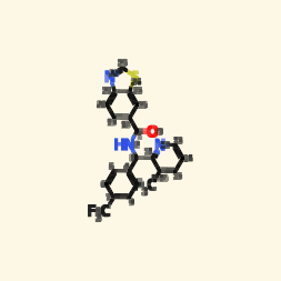 O=C(NC(c1ccc(C(F)(F)F)cc1)c1ncccc1C(F)(F)F)c1ccc2ncsc2c1